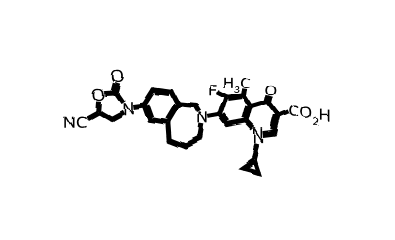 Cc1c(F)c(N2CCCc3cc(N4CC(C#N)OC4=O)ccc3C2)cc2c1c(=O)c(C(=O)O)cn2C1CC1